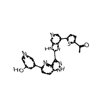 CC(=O)c1ccc(-c2cncc3[nH]c(-c4n[nH]c5ccc(-c6cncc(O)c6)nc45)nc23)s1